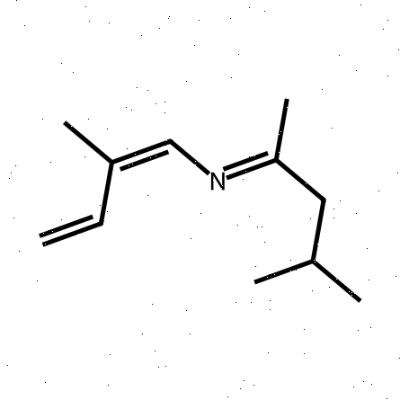 C=C/C(C)=C\N=C(/C)CC(C)C